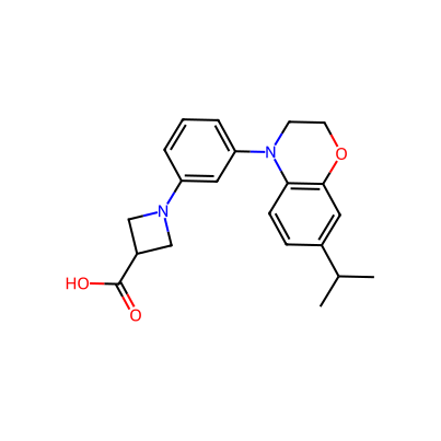 CC(C)c1ccc2c(c1)OCCN2c1cccc(N2CC(C(=O)O)C2)c1